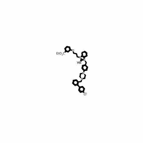 CCOC(=O)c1cccc(OCCCn2c(=N)n(Cc3ccc(N4CCN(Cc5ccccc5-c5ccc(Cl)cc5)CC4)cc3)c3ccccc32)c1